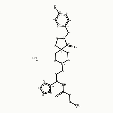 COCC(=O)NC(CCN1CCC2(CC1)CCN(Cc1ccc(Br)cc1)C2=O)c1cccs1.Cl